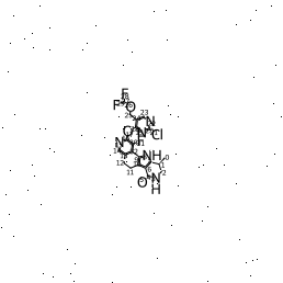 C[C@H]1CNC(=O)c2c1[nH]c1c2CCc2cnc(Oc3nc(Cl)ncc3COC(F)F)c(F)c2-1